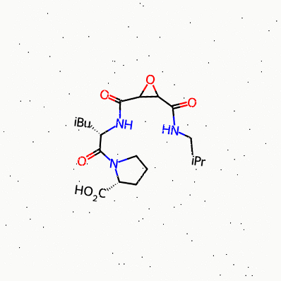 CCC(C)[C@H](NC(=O)C1OC1C(=O)NCC(C)C)C(=O)N1CCC[C@@H]1C(=O)O